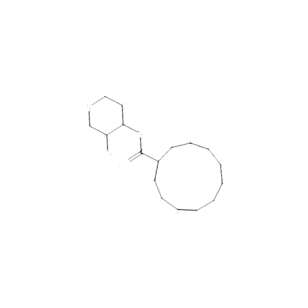 O=C(NC1CCNCC1O)C1CCCCCCCCCC1